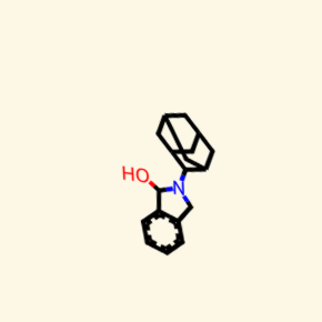 OC1c2ccccc2CN1C1C2CC3CC(C2)CC1C3